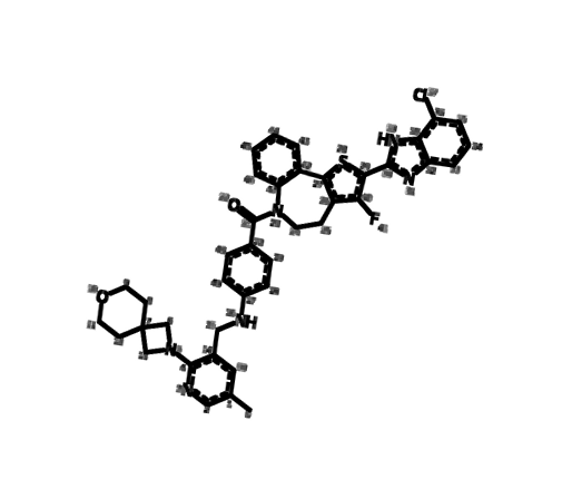 Cc1cnc(N2CC3(CCOCC3)C2)c(CNc2ccc(C(=O)N3CCc4c(sc(-c5nc6cccc(Cl)c6[nH]5)c4F)-c4ccccc43)cc2)c1